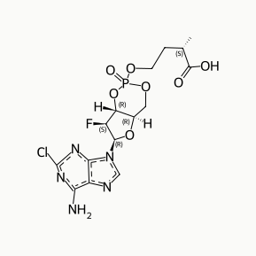 C[C@@H](CCOP1(=O)OC[C@H]2O[C@@H](n3cnc4c(N)nc(Cl)nc43)[C@@H](F)[C@@H]2O1)C(=O)O